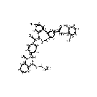 CCOCCNc1ncccc1C(=O)Nc1ccc(C(=O)N2CCc3cc(C(=O)Nc4c(F)cccc4F)sc3-c3ccc(F)cc32)cc1